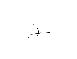 CO[C](C)(OC)[Mg][SiH3].Cl